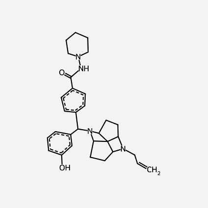 C=CCN1C2CCC3N(C(c4ccc(C(=O)NN5CCCCC5)cc4)c4cccc(O)c4)C4CCC1C234